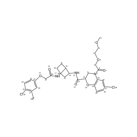 COCCOCC(=O)N1CC(C(=O)NC2CC3(NC(=O)COc4ccc(Cl)c(F)c4)CCC23)Oc2ccc(Cl)cc21